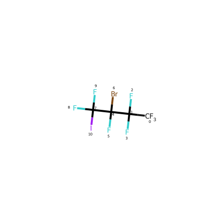 FC(F)(F)C(F)(F)C(F)(Br)C(F)(F)I